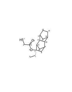 CC[C@@]1(OC(=O)CS)CC2CC1C1C3CCC(C3)C21